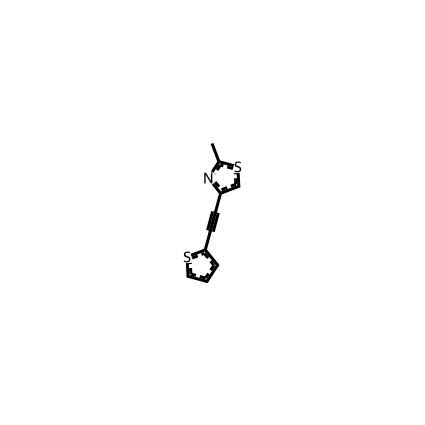 Cc1nc(C#Cc2cccs2)cs1